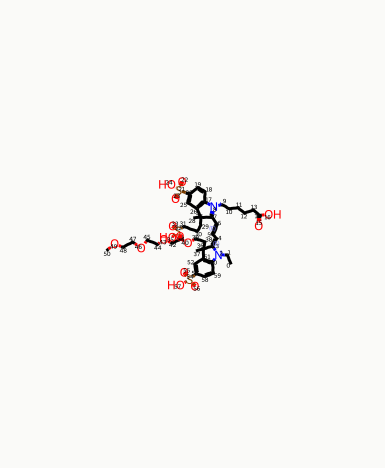 CCN1/C(=C/C=C/C2=[N+](CCCCCC(=O)O)c3ccc(S(=O)(=O)O)cc3C2(C)CCCS(=O)(=O)O)C(C)(CCOCCOCCOCCOC)c2cc(S(=O)(=O)O)ccc21